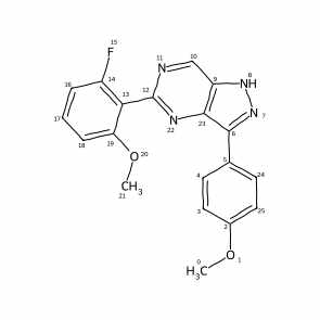 COc1ccc(-c2n[nH]c3cnc(-c4c(F)cccc4OC)nc23)cc1